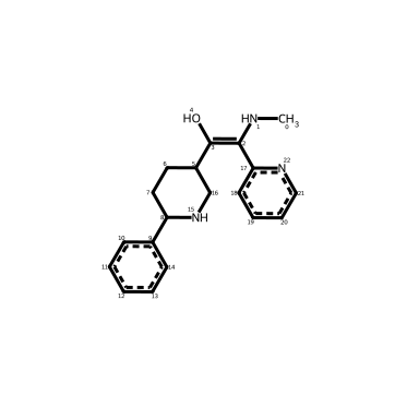 CN/C(=C(\O)C1CCC(c2ccccc2)NC1)c1ccccn1